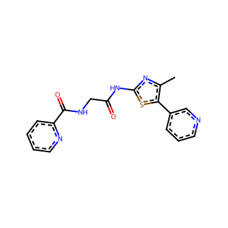 Cc1nc(NC(=O)CNC(=O)c2ccccn2)sc1-c1cccnc1